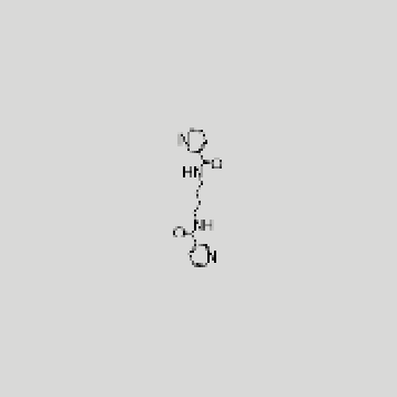 O=C(NCCCCNC(=O)c1cccnc1)c1cccnc1